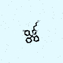 [Na+].[O-]CCCc1cn(C(c2ccccc2)(c2ccccc2)c2ccccc2)cn1